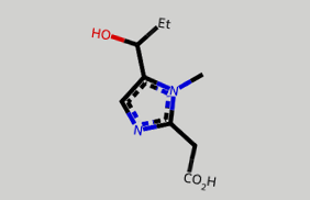 CCC(O)c1cnc(CC(=O)O)n1C